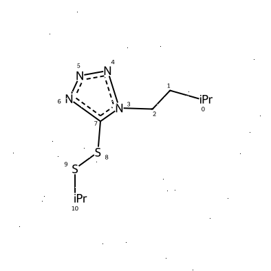 CC(C)CCn1nnnc1SSC(C)C